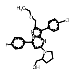 CCOCc1nn2c(-c3ccc(F)cc3)cc(N3CCCC3CO)nc2c1-c1ccc(Cl)cc1